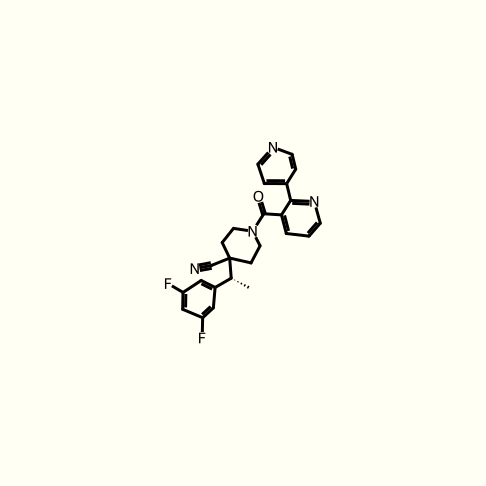 C[C@H](c1cc(F)cc(F)c1)C1(C#N)CCN(C(=O)c2cccnc2-c2ccncc2)CC1